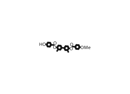 COc1ccc(C(=O)Oc2ccc(-c3ccc(OC(=O)c4ccc(O)cc4)c(C)c3)cc2C)cc1